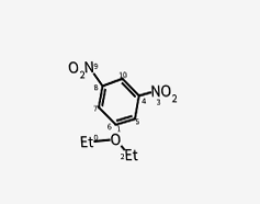 CCOCC.O=[N+]([O-])c1cccc([N+](=O)[O-])c1